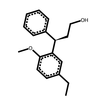 CCc1ccc(OC)c([C@H](CCO)c2ccccc2)c1